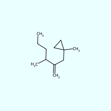 C=C(CC1(C)CC1)C(C)CCC